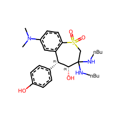 CCCCNC1(NCCCC)CS(=O)(=O)c2ccc(N(C)C)cc2[C@@H](c2ccc(O)cc2)[C@H]1O